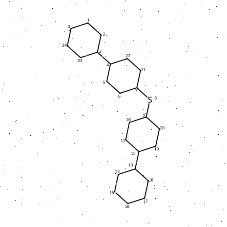 C1CCC(C2CCC(SC3CCC(C4CCCCC4)CC3)CC2)CC1